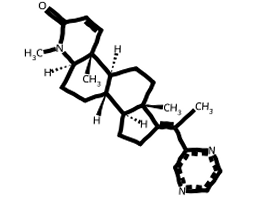 C/C(=C1/CC[C@H]2[C@@H]3CC[C@H]4N(C)C(=O)C=C[C@]4(C)[C@H]3CC[C@]12C)c1cnccn1